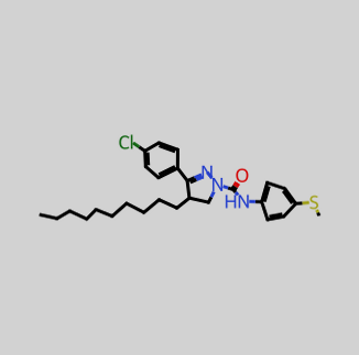 CCCCCCCCCCC1CN(C(=O)Nc2ccc(SC)cc2)N=C1c1ccc(Cl)cc1